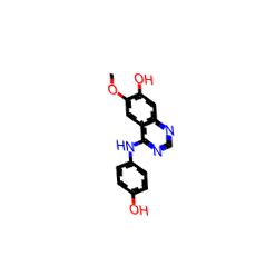 COc1cc2c(Nc3ccc(O)cc3)ncnc2cc1O